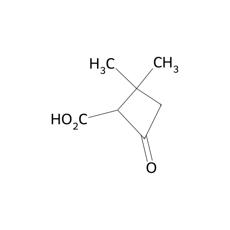 CC1(C)CC(=O)C1C(=O)O